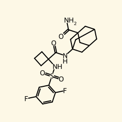 NC(=O)C12CC3CC(CC(NC(=O)C4(NS(=O)(=O)c5cc(F)ccc5F)CCC4)(C3)C1)C2